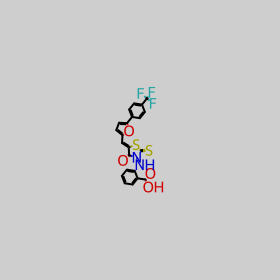 O=C(O)c1ccccc1NN1C(=O)C(=Cc2ccc(-c3ccc(C(F)(F)F)cc3)o2)SC1=S